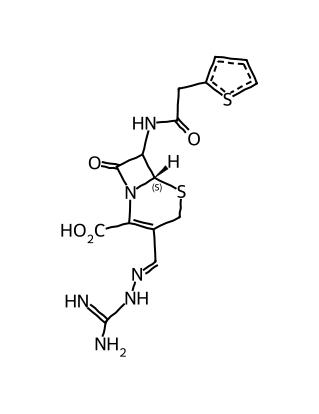 N=C(N)NN=CC1=C(C(=O)O)N2C(=O)C(NC(=O)Cc3cccs3)[C@@H]2SC1